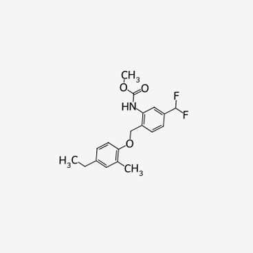 CCc1ccc(OCc2ccc(C(F)F)cc2NC(=O)OC)c(C)c1